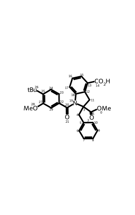 COC(=O)C1(Cc2ccccc2)Cc2c(C(=O)O)cccc2N1C(=O)c1ccc(C(C)(C)C)c(OC)c1